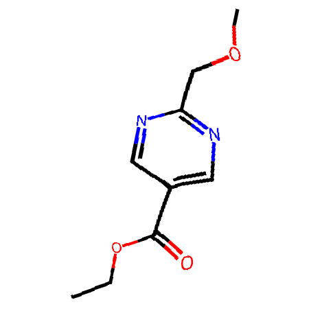 CCOC(=O)c1cnc(COC)nc1